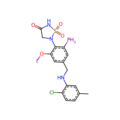 Cc1ccc(Cl)c(NCc2cc(P)c(N3CC(=O)NS3(=O)=O)c(OI)c2)c1